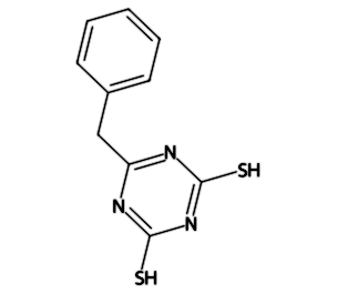 Sc1nc(S)nc(Cc2ccccc2)n1